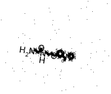 CC(c1cccc(OCCCNC(=O)CCN)c1)N1CCCC1